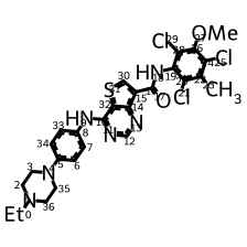 CCN1CCN(c2ccc(Nc3ncnc4c(C(=O)Nc5c(Cl)c(C)c(Cl)c(OC)c5Cl)csc34)cc2)CC1